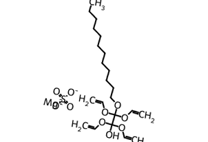 C=COC(O)(OC=C)C(OC=C)(OC=C)OCCCCCCCCCCCC.O=S(=O)([O-])[O-].[Mg+2]